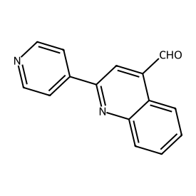 O=Cc1cc(-c2ccncc2)nc2ccccc12